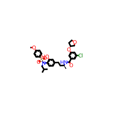 COc1ccc(S(=O)(=O)N(CC(C)C)c2ccc(CC[C@H](C)NC(=O)c3cc(Cl)cc(O[C@H]4CCOC4)c3)cc2O)cc1